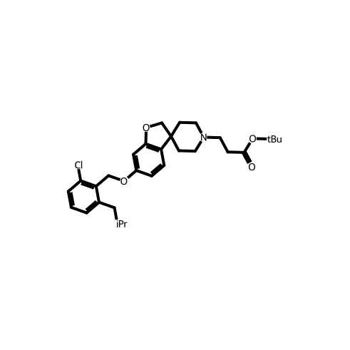 CC(C)Cc1cccc(Cl)c1COc1ccc2c(c1)OCC21CCN(CCC(=O)OC(C)(C)C)CC1